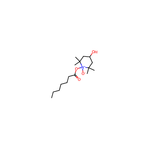 CCCCCCC(=O)O[N+]1([O-])C(C)(C)CC(O)CC1(C)C